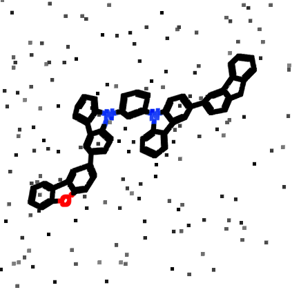 c1cc(-n2c3ccccc3c3cc(-c4ccc5c(c4)-c4ccccc4C5)ccc32)cc(-n2c3ccccc3c3cc(-c4ccc5oc6ccccc6c5c4)ccc32)c1